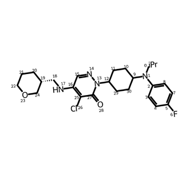 CC(C)N(c1ccc(F)cc1)C1CCC(n2ncc(NC[C@H]3CCCOC3)c(Cl)c2=O)CC1